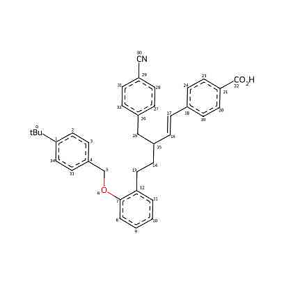 CC(C)(C)c1ccc(COc2ccccc2CCC(/C=C/c2ccc(C(=O)O)cc2)Cc2ccc(C#N)cc2)cc1